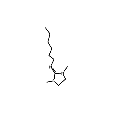 CCCCCCN=C1N(C)CCN1C